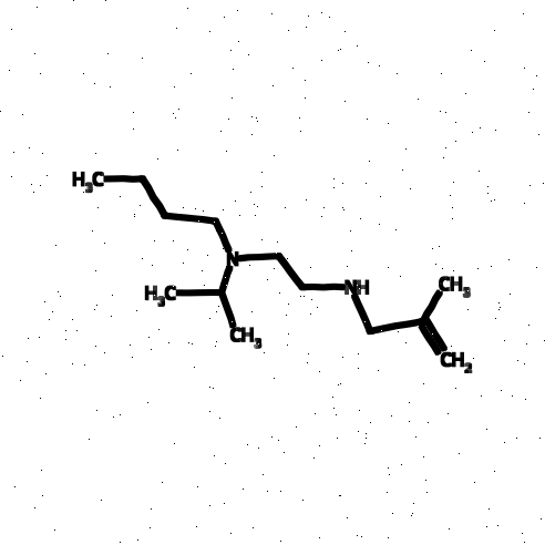 C=C(C)CNCCN(CCCC)C(C)C